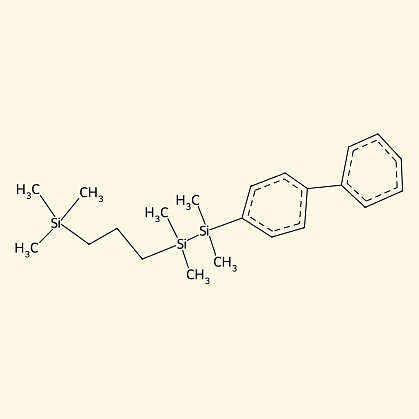 C[Si](C)(C)CCC[Si](C)(C)[Si](C)(C)c1ccc(-c2ccccc2)cc1